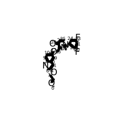 COCCOc1cnc2ccc(OCc3nn(-c4cc(F)cc(F)c4)ccc3=O)cc2c1